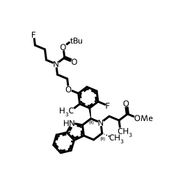 COC(=O)C(C)CN1[C@H](c2c(F)ccc(OCCN(CCCF)C(=O)OC(C)(C)C)c2C)c2[nH]c3ccccc3c2C[C@H]1C